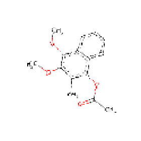 COc1c(C)c(OC(C)=O)c2ccccc2c1OC